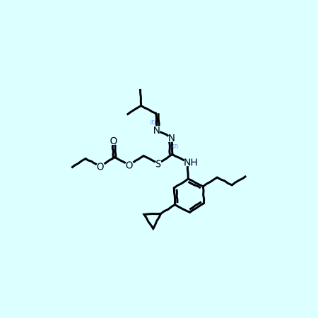 CCCc1ccc(C2CC2)cc1N/C(=N/N=C/C(C)C)SCOC(=O)OCC